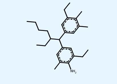 CCCCC(CC)C(c1cc(C)c(C)c(CC)c1)c1cc(C)c(N)c(CC)c1